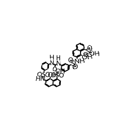 O=C(Nc1cccc(S(=O)(=O)Nc2ccc3cccc(S(=O)(=O)O)c3c2O)c1)Nc1cccc(S(=O)(=O)Nc2ccc3cccc(S(=O)(=O)O)c3c2O)c1